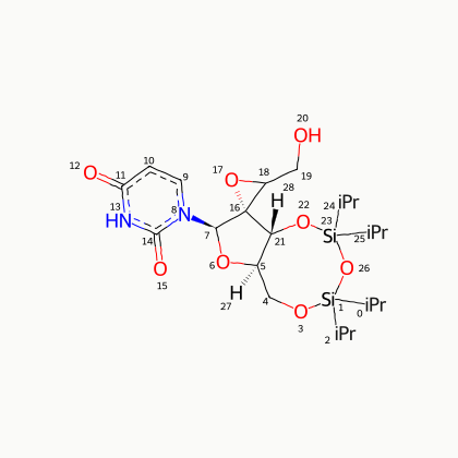 CC(C)[Si]1(C(C)C)OC[C@H]2O[C@@H](n3ccc(=O)[nH]c3=O)[C@]3(OC3CO)[C@@H]2O[Si](C(C)C)(C(C)C)O1